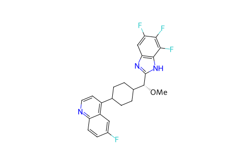 CO[C@@H](c1nc2cc(F)c(F)c(F)c2[nH]1)C1CCC(c2ccnc3ccc(F)cc23)CC1